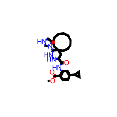 COC(=O)c1ccc(C2CC2)cc1NC(=O)C1CC2(CCCCCCCCCC2)C(N2CCNC2)NN1